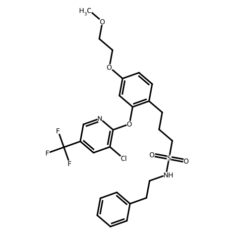 COCCOc1ccc(CCCS(=O)(=O)NCCc2ccccc2)c(Oc2ncc(C(F)(F)F)cc2Cl)c1